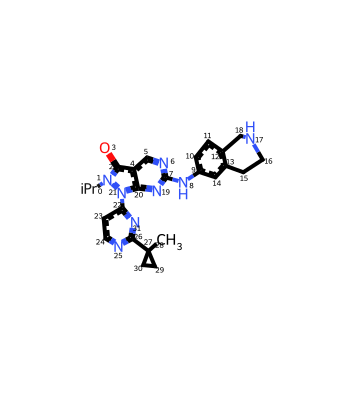 CC(C)n1c(=O)c2cnc(Nc3ccc4c(c3)CCNC4)nc2n1-c1ccnc(C2(C)CC2)n1